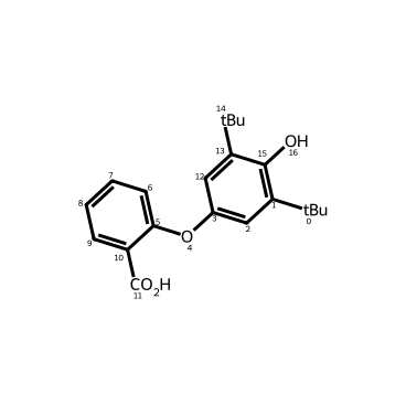 CC(C)(C)c1cc(Oc2ccccc2C(=O)O)cc(C(C)(C)C)c1O